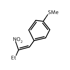 CCC(=Cc1ccc(SC)cc1)[N+](=O)[O-]